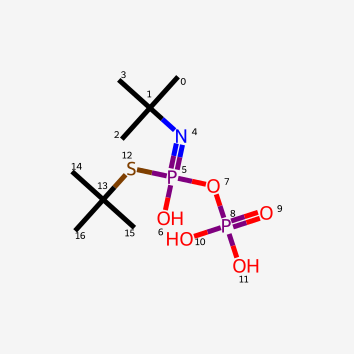 CC(C)(C)N=P(O)(OP(=O)(O)O)SC(C)(C)C